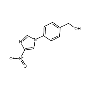 O=[N+]([O-])c1cn(-c2ccc(CO)cc2)cn1